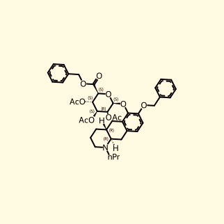 CCCN1CCC[C@@H]2Cc3c(ccc(OCc4ccccc4)c3O[C@@H]3O[C@H](C(=O)OCc4ccccc4)[C@@H](OC(C)=O)[C@H](OC(C)=O)[C@H]3OC(C)=O)C[C@H]21